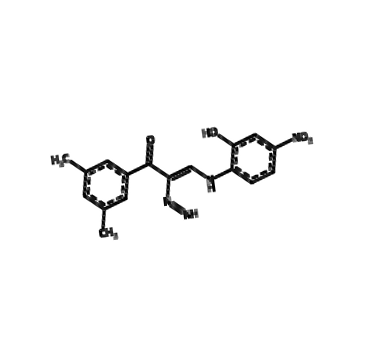 Cc1cc(C)cc(C(=O)/C(=C/Nc2ccc([N+](=O)[O-])cc2O)N=N)c1